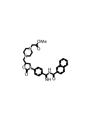 COC(=O)CN1CCN(CC2CN(c3ccc(C(=N)NC(=O)c4ccc5ccccc5c4)cc3)C(=O)O2)CC1